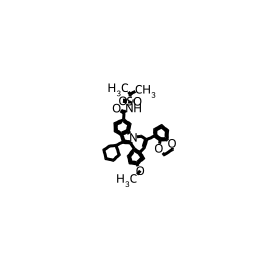 COc1ccc2c(c1)C=C(c1cccc3c1OCCO3)Cn1c-2c(C2CCCCC2)c2ccc(C(=O)NS(=O)(=O)C(C)C)cc21